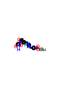 C[C@H]1CN(Cc2cc3c(cc2F)N(C2CCC(=O)NC2=O)C(=O)C3(C)C)CCN1CC1CCN(C(=O)OC(C)(C)C)CC1